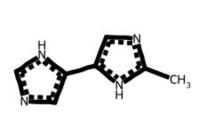 Cc1ncc(-c2cnc[nH]2)[nH]1